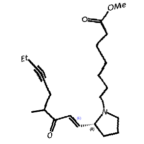 CCC#CCC(C)C(=O)/C=C/[C@H]1CCCN1CCCCCCC(=O)OC